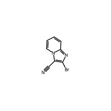 N#Cc1c(Br)nc2ccccn12